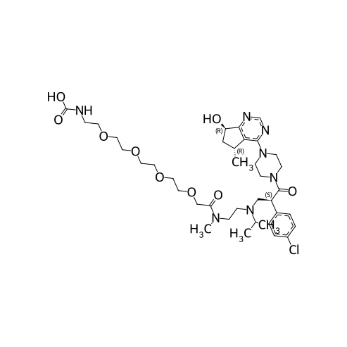 CC(C)N(CCN(C)C(=O)COCCOCCOCCOCCNC(=O)O)C[C@@H](C(=O)N1CCN(c2ncnc3c2[C@H](C)C[C@H]3O)CC1)c1ccc(Cl)cc1